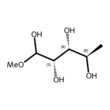 COC(O)[C@@H](O)[C@H](O)[C@@H](C)O